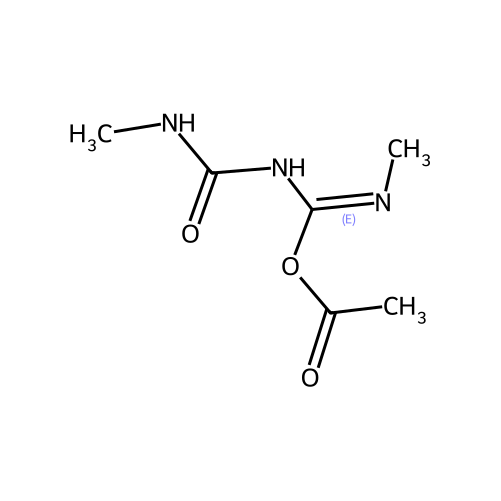 C/N=C(\NC(=O)NC)OC(C)=O